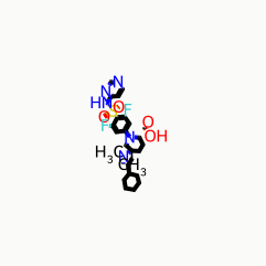 CN(C)[C@@]1(CCC2CCCCC2)CCCN(c2cc(F)c(S(=O)(=O)Nc3ccncn3)c(F)c2)C1.O=CO